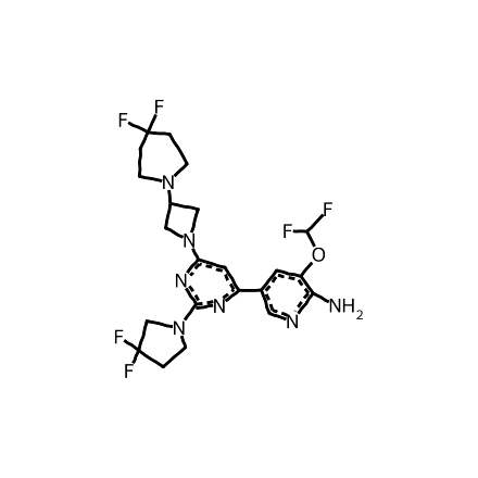 Nc1ncc(-c2cc(N3CC(N4CCC(F)(F)CC4)C3)nc(N3CCC(F)(F)C3)n2)cc1OC(F)F